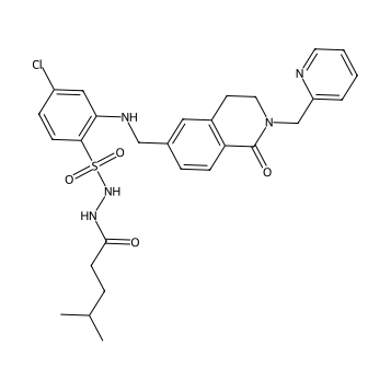 CC(C)CCC(=O)NNS(=O)(=O)c1ccc(Cl)cc1NCc1ccc2c(c1)CCN(Cc1ccccn1)C2=O